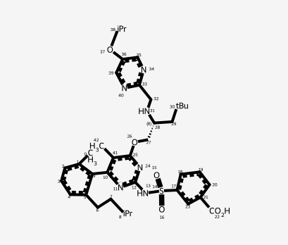 Cc1cccc(CCC(C)C)c1-c1nc(NS(=O)(=O)c2cccc(C(=O)O)c2)nc(OC[C@@H](CC(C)(C)C)NCc2ncc(OC(C)C)cn2)c1C